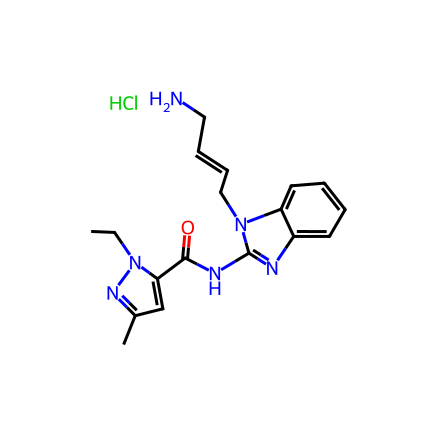 CCn1nc(C)cc1C(=O)Nc1nc2ccccc2n1C/C=C/CN.Cl